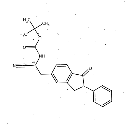 CC(C)(C)OC(=O)N[C@H](C#N)Cc1ccc2c(c1)CN(c1ccccc1)C2=O